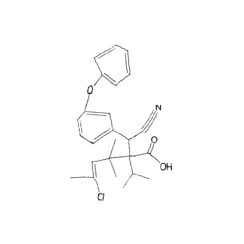 CC(Cl)=CC(C)(C)C(C(=O)O)(C(C)C)C(C#N)c1cccc(Oc2ccccc2)c1